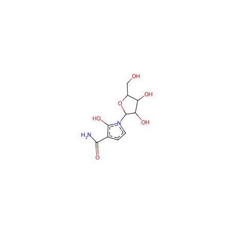 NC(=O)c1ccn(C2OC(CO)C(O)C2O)c1O